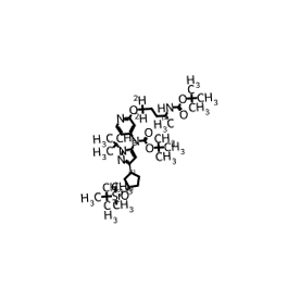 [2H]C([2H])(CC[C@H](C)NC(=O)OC(C)(C)C)Oc1cc(N(C(=O)OC(C)(C)C)c2cc([C@H]3CC[C@@H](O[Si](C)(C)C(C)(C)C)C3)nn2C(C)(C)C)ccn1